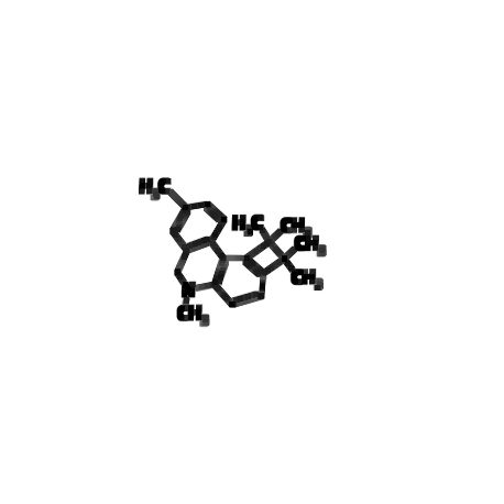 Cc1ccc2c(c1)CN(C)c1ccc3c(c1-2)C(C)(C)C3(C)C